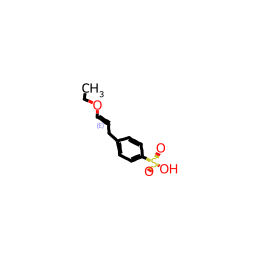 CCO/C=C/Cc1ccc(S(=O)(=O)O)cc1